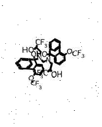 OC(CN(CN(CC(O)C(F)(F)F)C1(O)c2cccc(c2)-c2c(OC(F)(F)F)cccc21)C1(O)c2cccc(c2)-c2c(OC(F)(F)F)cccc21)C(F)(F)F